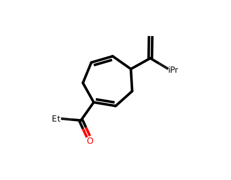 C=C(C(C)C)C1C=CCC(C(=O)CC)=CC1